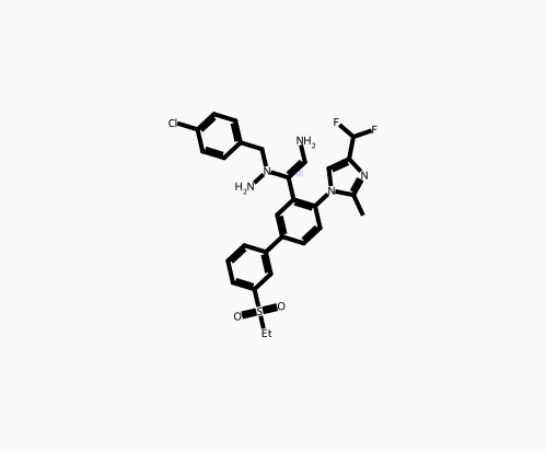 CCS(=O)(=O)c1cccc(-c2ccc(-n3cc(C(F)F)nc3C)c(/C(=C/N)N(N)Cc3ccc(Cl)cc3)c2)c1